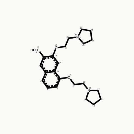 O=C(O)c1cc2cccc(OCCN3CCCC3)c2cc1OCCN1CCCC1